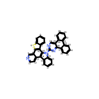 c1ccc2c(c1)sc1c3cnccc3c3c4ccccc4n(-c4ncc5c6ccccc6c6ccccc6c5n4)c3c21